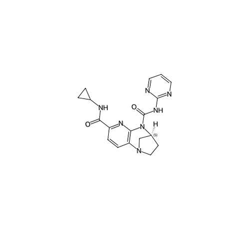 O=C(NC1CC1)c1ccc2c(n1)N(C(=O)Nc1ncccn1)[C@H]1CCN2C1